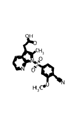 COc1cc(S(=O)(=O)n2c(C)c(CC(=O)O)c3cccnc32)ccc1C#N